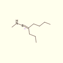 CCCC/C(=B\NC)CCC